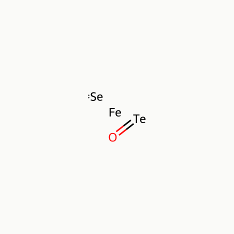 O=[Te].[Fe].[Se]